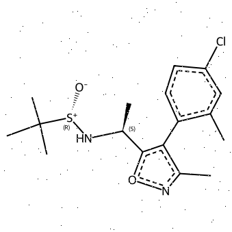 Cc1cc(Cl)ccc1-c1c(C)noc1[C@H](C)N[S@@+]([O-])C(C)(C)C